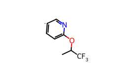 CC(Oc1cc[c]cn1)C(F)(F)F